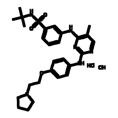 Cc1cnc(Nc2ccc(OCCN3CCCC3)cc2)nc1Nc1cccc(S(=O)(=O)NC(C)(C)C)c1.Cl.Cl